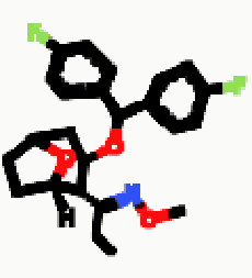 CCC(=NOC)[C@@H]1[C@@H]2CCC(C[C@H]1OC(c1ccc(F)cc1)c1ccc(F)cc1)O2